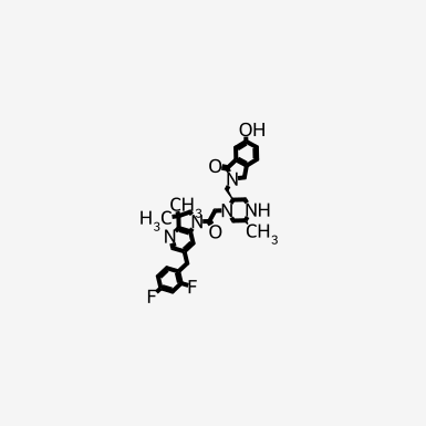 C[C@@H]1CN(CC(=O)N2CC(C)(C)c3ncc(Cc4ccc(F)cc4F)cc32)[C@@H](CN2Cc3ccc(O)cc3C2=O)CN1